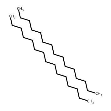 CCCCCCCCCCCCCCC.CCCCCCCCCCCCCCC